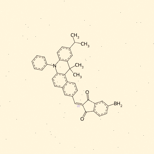 Bc1ccc2c(c1)C(=O)/C(=C\c1ccc3c4c(ccc3c1)N(c1ccccc1)c1ccc(C(C)C)cc1C4(C)C)C2=O